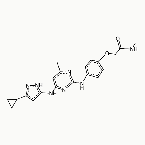 CNC(=O)COc1ccc(Nc2nc(C)cc(Nc3cc(C4CC4)n[nH]3)n2)cc1